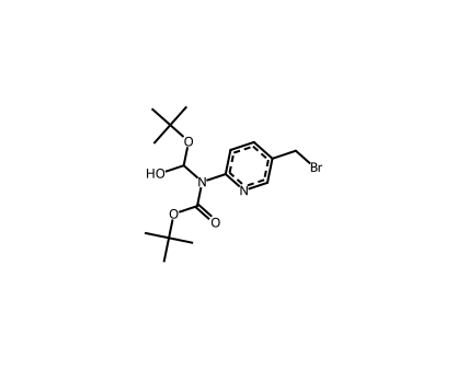 CC(C)(C)OC(=O)N(c1ccc(CBr)cn1)C(O)OC(C)(C)C